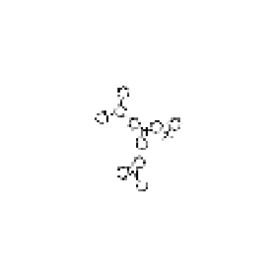 CC1(C)c2ccccc2-c2ccc(N(c3ccc(-c4cc(-c5ccccc5)cc(-c5ccccc5)c4)cc3)c3ccc(-c4ccc5c(c4)c4ccccc4n5-c4ccccc4)cc3)cc21